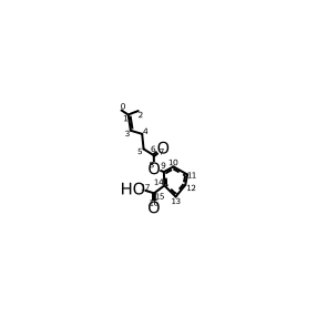 CC(C)=CCCC(=O)Oc1ccccc1C(=O)O